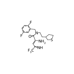 N=C(/C=C(\N)C(=O)N(CCC1CCSC1)Cc1cc(F)ccc1F)C(F)(F)F